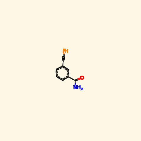 NC(=O)c1cccc(B=P)c1